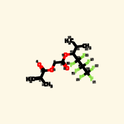 C=C(C)C(=O)OCC(=O)OC(C(C)C)C(F)(F)C(F)(F)C(F)(F)F